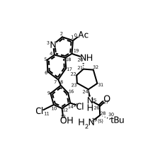 CC(=O)c1cnc2ccc(-c3cc(Cl)c(O)c(Cl)c3)cc2c1N[C@H]1CC[C@H](NC(=O)[C@@H](N)C(C)(C)C)CC1